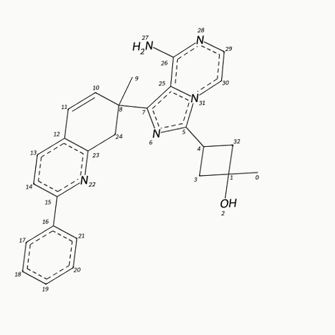 CC1(O)CC(c2nc(C3(C)C=Cc4ccc(-c5ccccc5)nc4C3)c3c(N)nccn23)C1